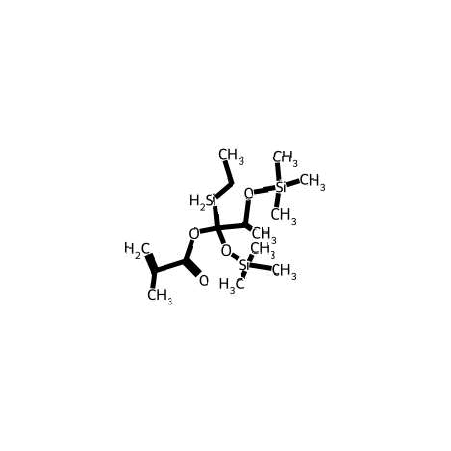 C=C(C)C(=O)OC(O[Si](C)(C)C)([SiH2]CC)C(C)O[Si](C)(C)C